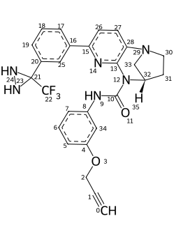 C#CCOc1cccc(NC(=O)N2c3nc(-c4cccc(C5(C(F)(F)F)NN5)c4)ccc3N3CC[C@H]2C3)c1